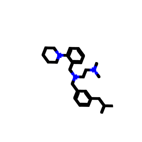 CC(C)Cc1cccc(CN(CCN(C)C)Cc2ccccc2N2CCCCC2)c1